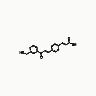 O=C(O)C=Cc1ccc(C=CC(=O)c2cccc(CO)c2)cc1